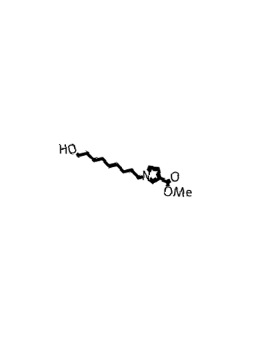 COC(=O)c1ccn(CCCCCCCCCO)c1